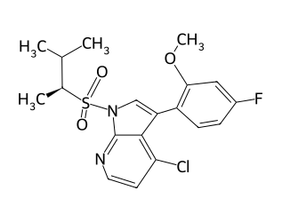 COc1cc(F)ccc1-c1cn(S(=O)(=O)[C@@H](C)C(C)C)c2nccc(Cl)c12